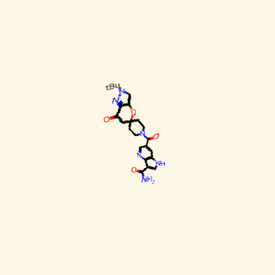 CC(C)(C)n1cc2c(n1)C(=O)CC1(CCN(C(=O)c3cnc4c(C(N)=O)c[nH]c4c3)CC1)O2